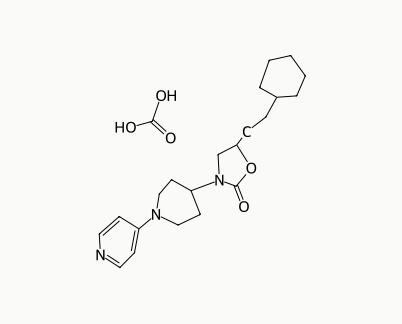 O=C(O)O.O=C1OC(CCC2CCCCC2)CN1C1CCN(c2ccncc2)CC1